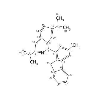 Cc1cc2c(c(-c3nc(C(C)C)cc4ccc(C(C)C)cc34)c1)Cc1ccccc1-2